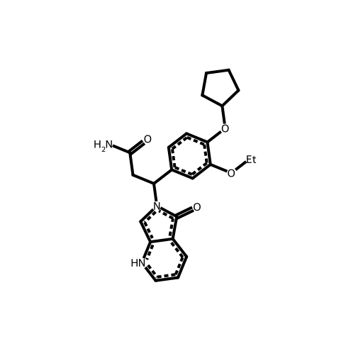 CCOc1cc(C(CC(N)=O)n2cc3[nH]cccc-3c2=O)ccc1OC1CCCC1